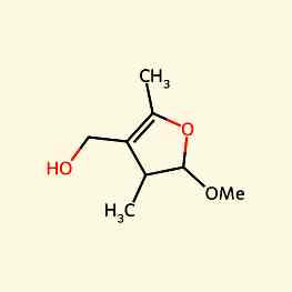 COC1OC(C)=C(CO)C1C